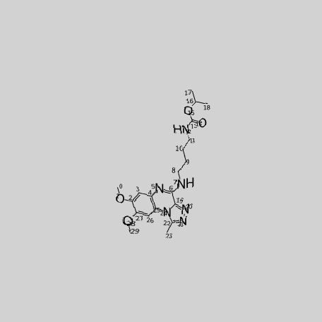 COc1cc2nc(NCCCCNC(=O)OC(C)C)c3nnc(C)n3c2cc1OC